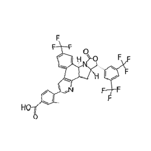 Cc1cc(C(=O)O)ccc1-c1cnc2c(c1)-c1ccc(C(F)(F)F)cc1[C@@H]1C2C[C@H]2[C@@H](c3cc(C(F)(F)F)cc(C(F)(F)F)c3)OC(=O)N12